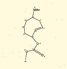 CNC1C/C=C/C(OC(=O)OI)CCC1